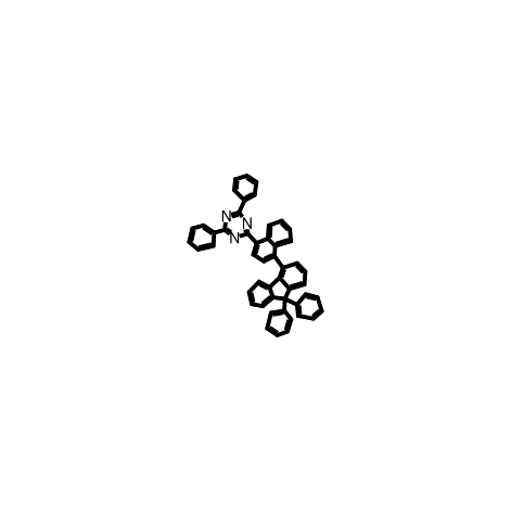 c1ccc(-c2nc(-c3ccccc3)nc(-c3ccc(-c4cccc5c4-c4ccccc4C5(c4ccccc4)c4ccccc4)c4ccccc34)n2)cc1